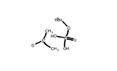 CCCCOP(=O)(O)O.C[S+](C)[O-]